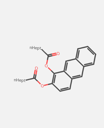 CCCCCCCC(=O)Oc1ccc2cc3ccccc3cc2c1OC(=O)CCCCCCC